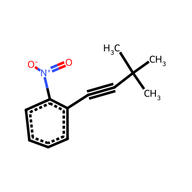 CC(C)(C)C#Cc1ccccc1[N+](=O)[O-]